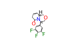 O=C1CC=C[C@H]2COC[C@@H](c3cc(F)c(F)c(F)c3)N12